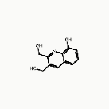 OCc1cc2cccc(O)c2nc1CO